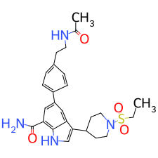 CCS(=O)(=O)N1CCC(c2c[nH]c3c(C(N)=O)cc(-c4ccc(CCNC(C)=O)cc4)cc23)CC1